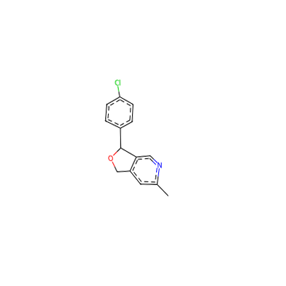 Cc1cc2c(cn1)C(c1ccc(Cl)cc1)OC2